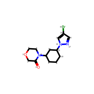 O=C1COCCN1C1CCCC(n2cc(Br)cn2)C1